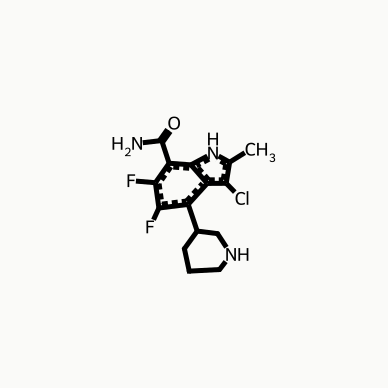 Cc1[nH]c2c(C(N)=O)c(F)c(F)c(C3CCCNC3)c2c1Cl